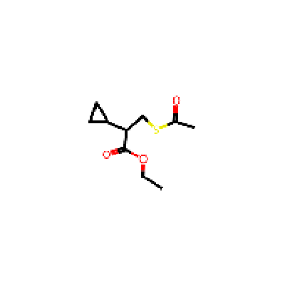 CCOC(=O)C(CSC(C)=O)C1CC1